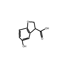 O=C(O)C1COc2ccc(O)cc21